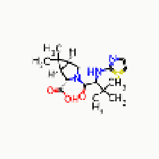 CC(C)(C)[C@H](Nc1nccs1)C(=O)N1C[C@H]2[C@@H]([C@H]1C(=O)O)C2(C)C